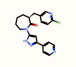 O=C1[C@H](Cc2ccc(Cl)nc2)CCCCN1c1cc(-c2ccncc2)n[nH]1